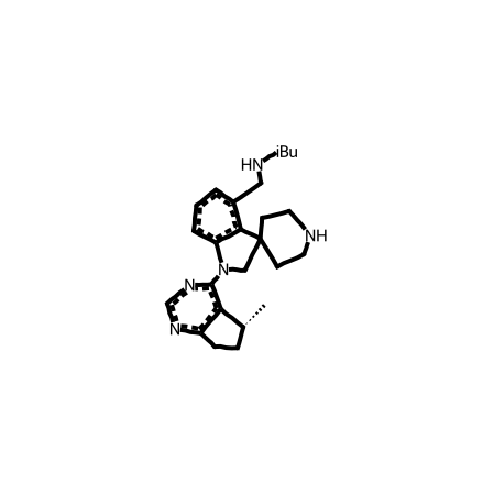 CCC(C)NCc1cccc2c1C1(CCNCC1)CN2c1ncnc2c1[C@H](C)CC2